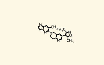 Cc1cc2nccn2nc1N1CCc2ncc(-c3c(C)noc3C)cc2C1